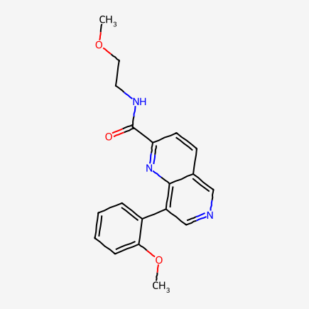 COCCNC(=O)c1ccc2cncc(-c3ccccc3OC)c2n1